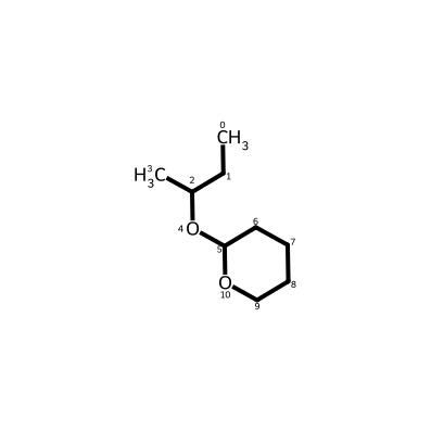 CCC(C)OC1CCCCO1